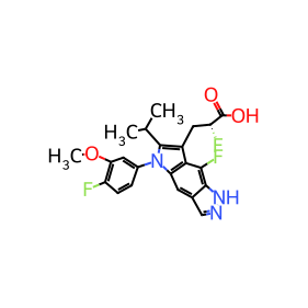 COc1cc(-n2c(C(C)C)c(C[C@@H](F)C(=O)O)c3c(F)c4[nH]ncc4cc32)ccc1F